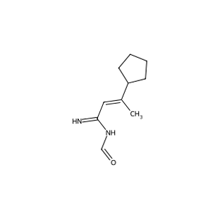 C/C(=C\C(=N)NC=O)C1CCCC1